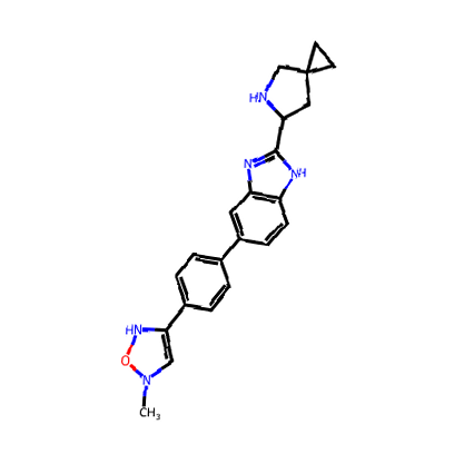 CN1C=C(c2ccc(-c3ccc4[nH]c(C5CC6(CC6)CN5)nc4c3)cc2)NO1